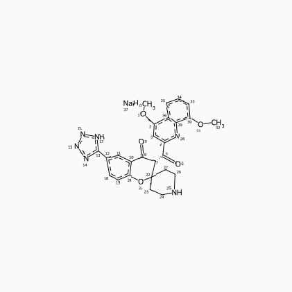 COc1cc(C(=O)[C@H]2C(=O)c3cc(-c4nnn[nH]4)ccc3OC23CCNCC3)nc2c(OC)cccc12.[NaH]